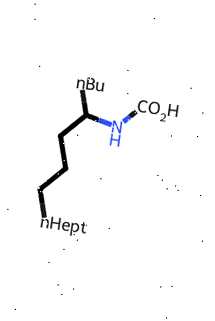 CCCCCCCCCCC(CCCC)NC(=O)O